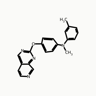 Cc1cccc(N(C)c2ccc(Oc3ncc4ccncc4n3)cc2)c1